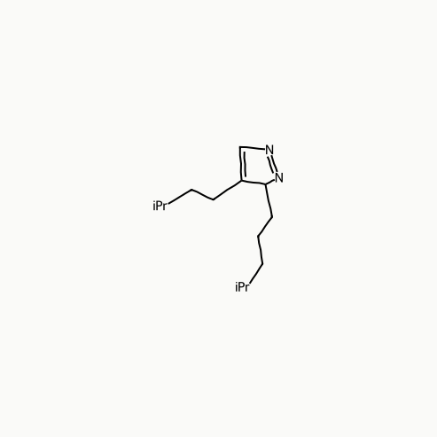 CC(C)CCCC1N=NC=C1CCC(C)C